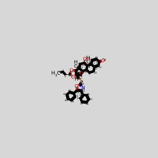 CCC[C@H]1O[C@@H]2CC3C4CCC5=CC(=O)C=CC5(C)C4[C@@H](O)CC3(C)[C@]2(C(=O)CSc2nc(-c3ccccc3)c(-c3ccccc3)o2)O1